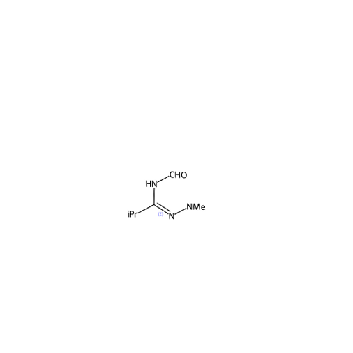 CN/N=C(\NC=O)C(C)C